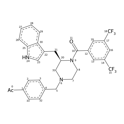 CC(=O)c1ccc(CN2CCN(C(=O)c3cc(C(F)(F)F)cc(C(F)(F)F)c3)[C@H](Cc3c[nH]c4ccccc34)C2)cc1